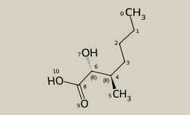 CCCC[C@@H](C)[C@@H](O)C(=O)O